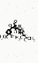 COc1ccc(C(=O)c2c(C=O)[nH]c(-c3nnn(C(C)OC(C)=O)n3)c2C)cc1Br